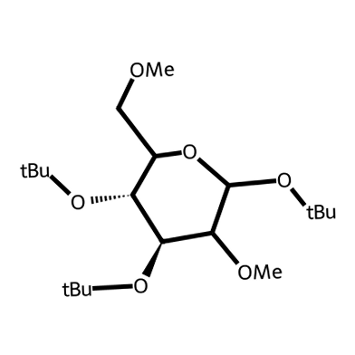 COCC1OC(OC(C)(C)C)C(OC)[C@@H](OC(C)(C)C)[C@@H]1OC(C)(C)C